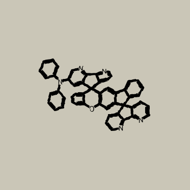 c1ccc(N(c2ccccc2)c2cnc3c(c2)C2(c4ccccc4Oc4cc5c(cc42)-c2ccccc2C52c4cccnc4-c4ncccc42)c2cccnc2-3)cc1